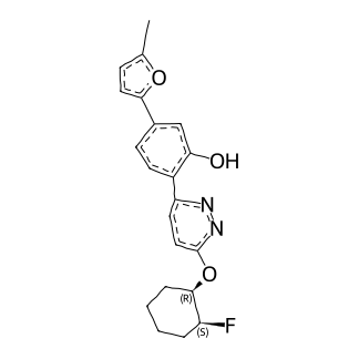 Cc1ccc(-c2ccc(-c3ccc(O[C@@H]4CCCC[C@@H]4F)nn3)c(O)c2)o1